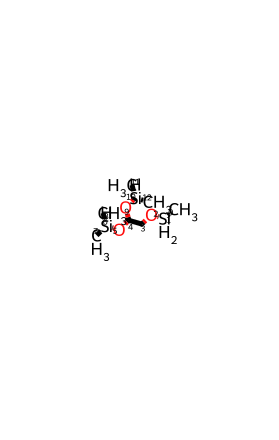 C[SiH2]OCC(O[SiH](C)C)O[SiH](C)C